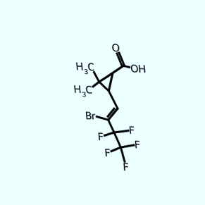 CC1(C)C(C=C(Br)C(F)(F)C(F)(F)F)C1C(=O)O